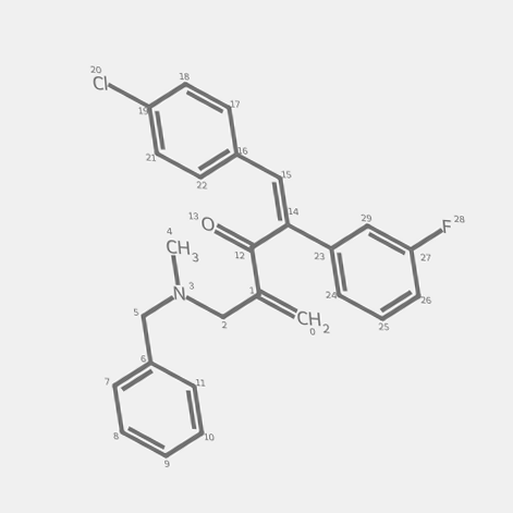 C=C(CN(C)Cc1ccccc1)C(=O)/C(=C\c1ccc(Cl)cc1)c1cccc(F)c1